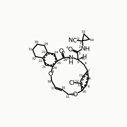 N#CC1(NC(=O)[C@@H]2Cc3ccc(c(Cl)c3)OC/C=C/COc3cc4c(cc3C(=O)N2)CCCC4)CC1